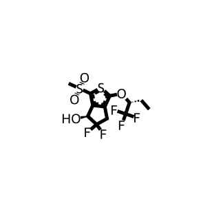 CC[C@@H](Oc1sc(S(C)(=O)=O)c2c1CC(F)(F)[C@H]2O)C(F)(F)F